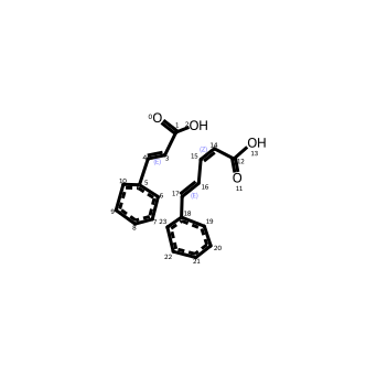 O=C(O)/C=C/c1ccccc1.O=C(O)/C=C\C=C\c1ccccc1